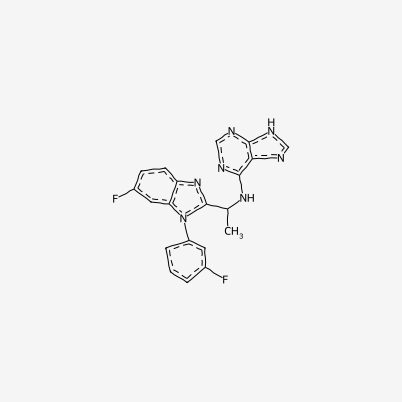 CC(Nc1ncnc2[nH]cnc12)c1nc2ccc(F)cc2n1-c1cccc(F)c1